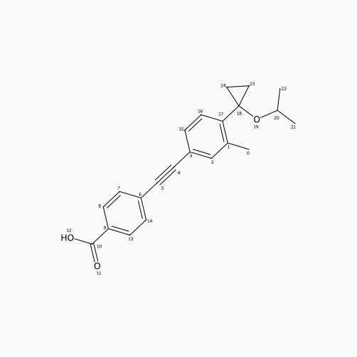 Cc1cc(C#Cc2ccc(C(=O)O)cc2)ccc1C1(OC(C)C)CC1